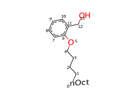 CCCCCCCCCCCCOc1ccccc1CO